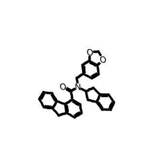 O=C(c1cccc2c1-c1ccccc1C2)N(Cc1ccc2c(c1)OCO2)C1Cc2ccccc2C1